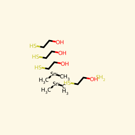 OCCS.OCCS.OCCS.OCCS.S.[CH3][Sn][CH3].[CH3][Sn][CH3]